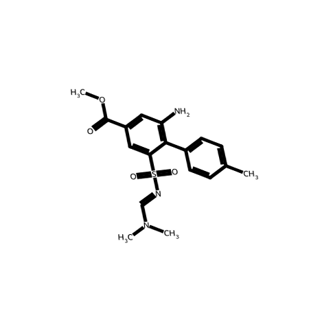 COC(=O)c1cc(N)c(-c2ccc(C)cc2)c(S(=O)(=O)/N=C/N(C)C)c1